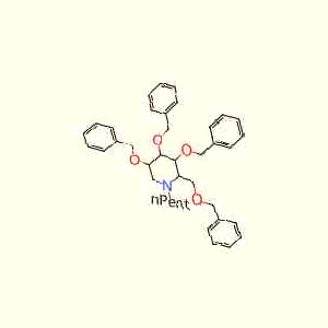 CCCCCN1CC(OCc2ccccc2)C(OCc2ccccc2)C(OCc2ccccc2)C1COCc1ccccc1